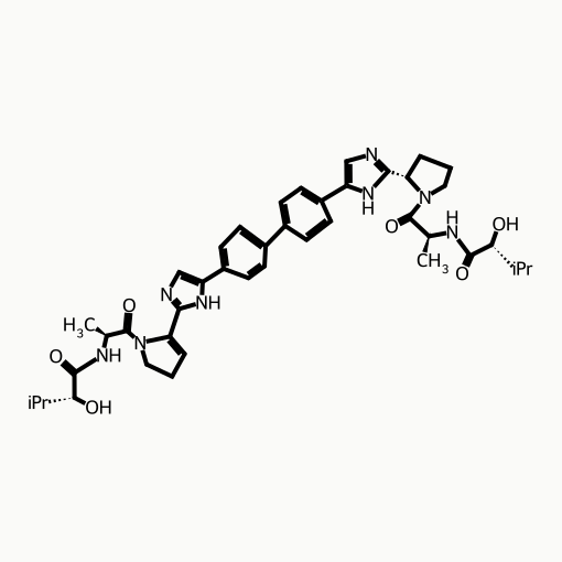 CC(C)[C@@H](O)C(=O)N[C@@H](C)C(=O)N1CCC=C1c1ncc(-c2ccc(-c3ccc(-c4cnc([C@@H]5CCCN5C(=O)[C@H](C)NC(=O)[C@H](O)C(C)C)[nH]4)cc3)cc2)[nH]1